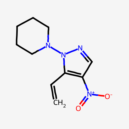 C=Cc1c([N+](=O)[O-])cnn1N1CCCCC1